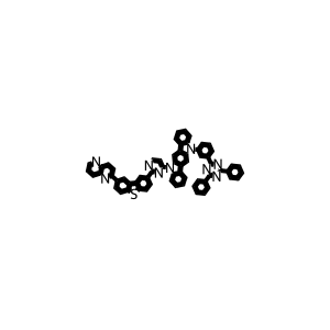 c1ccc(-c2nc(-c3ccccc3)nc(-c3cccc(-n4c5ccccc5c5cc6c(cc54)c4ccccc4n6-c4ccnc(-c5ccc6sc7ccc(-c8ccc9ncccc9n8)cc7c6c5)n4)c3)n2)cc1